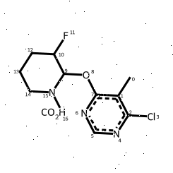 Cc1c(Cl)ncnc1OC1C(F)CCCN1C(=O)O